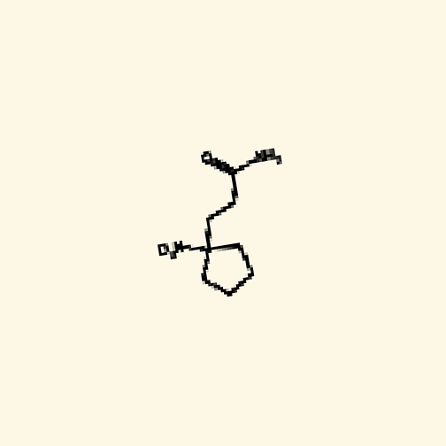 NC(=O)CCC1([N+](=O)[O-])CCCC1